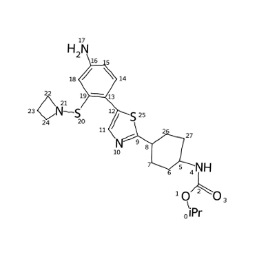 CC(C)OC(=O)NC1CCC(c2ncc(-c3ccc(N)cc3SN3CCC3)s2)CC1